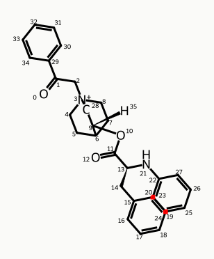 O=C(C[N+]12CCC(CC1)[C@@H](OC(=O)[C@H](Cc1ccccc1)Nc1ccccc1)C2)c1ccccc1